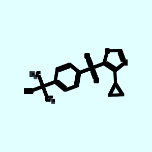 CC(O)(c1ccc(S(=O)(=O)c2scnc2C2CC2)cc1)C(F)(F)F